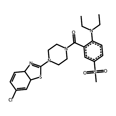 CCN(CC)c1ccc(S(C)(=O)=O)cc1C(=O)N1CCN(C2=NC3C=CC(Cl)=CC3S2)CC1